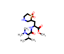 COC(=O)C(CC1CNCCS1(=O)=O)NC(=O)[C@H](C(C)C)N(C)C